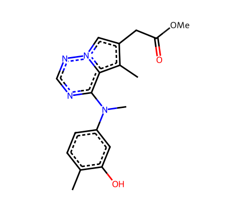 COC(=O)Cc1cn2ncnc(N(C)c3ccc(C)c(O)c3)c2c1C